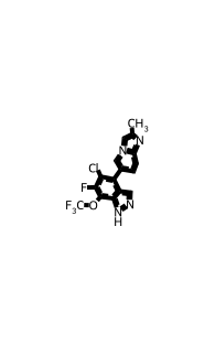 Cc1cn2cc(-c3c(Cl)c(F)c(OC(F)(F)F)c4[nH]ncc34)ccc2n1